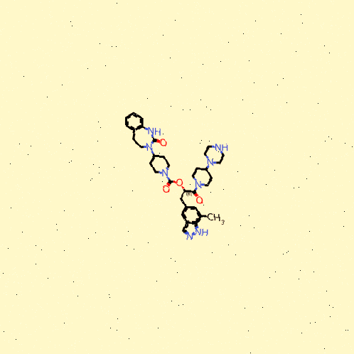 Cc1cc(C[C@@H](OC(=O)N2CCC(N3CCc4ccccc4NC3=O)CC2)C(=O)N2CCC(N3CCNCC3)CC2)cc2cn[nH]c12